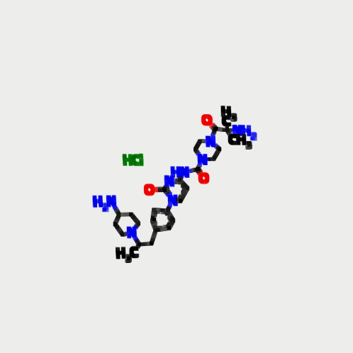 CC(Cc1ccc(-n2ccc(NC(=O)N3CCN(C(=O)C(C)(C)N)CC3)nc2=O)cc1)N1CCC(N)CC1.Cl